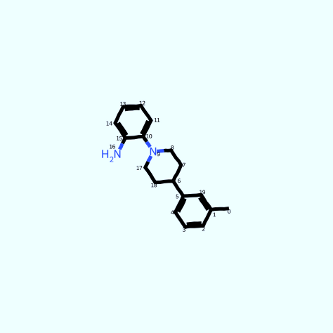 Cc1cccc(C2CCN(c3ccccc3N)CC2)c1